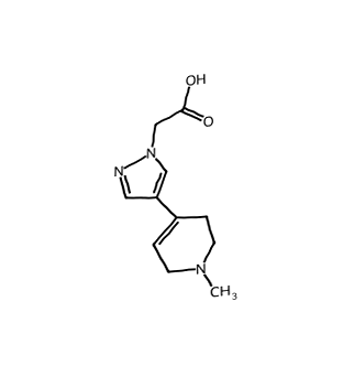 CN1CC=C(c2cnn(CC(=O)O)c2)CC1